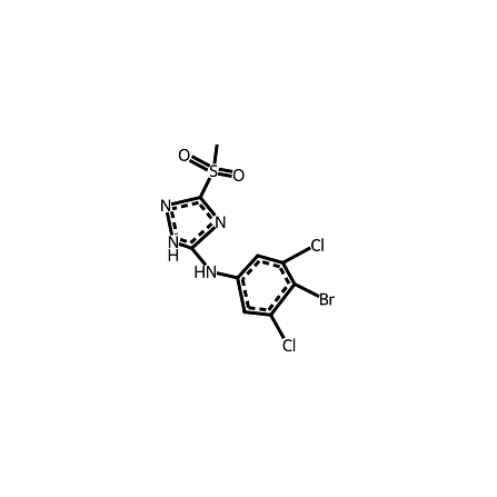 CS(=O)(=O)c1n[nH]c(Nc2cc(Cl)c(Br)c(Cl)c2)n1